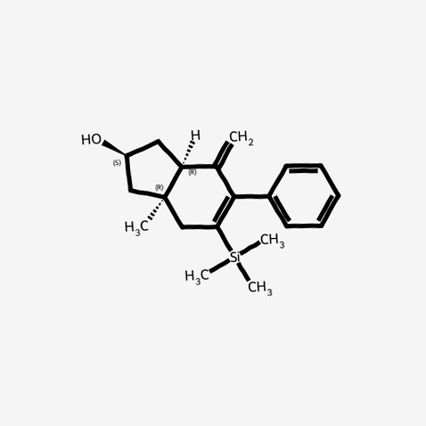 C=C1C(c2ccccc2)=C([Si](C)(C)C)C[C@@]2(C)C[C@@H](O)C[C@@H]12